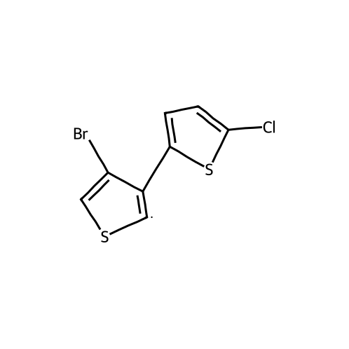 Clc1ccc(-c2[c]scc2Br)s1